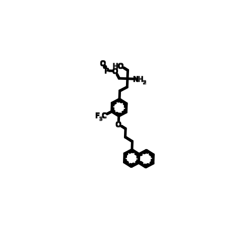 NC(CO)(CCc1ccc(OCCCc2cccc3ccccc23)c(C(F)(F)F)c1)COP=O